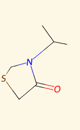 CC(C)N1CSCC1=O